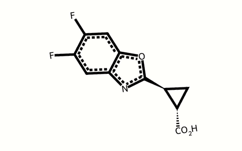 O=C(O)[C@H]1C[C@@H]1c1nc2cc(F)c(F)cc2o1